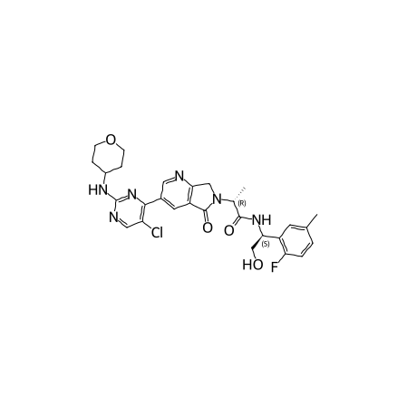 Cc1ccc(F)c([C@@H](CO)NC(=O)[C@@H](C)N2Cc3ncc(-c4nc(NC5CCOCC5)ncc4Cl)cc3C2=O)c1